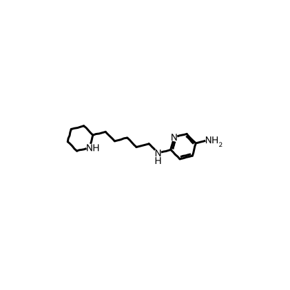 Nc1ccc(NCCCCCC2CCCCN2)nc1